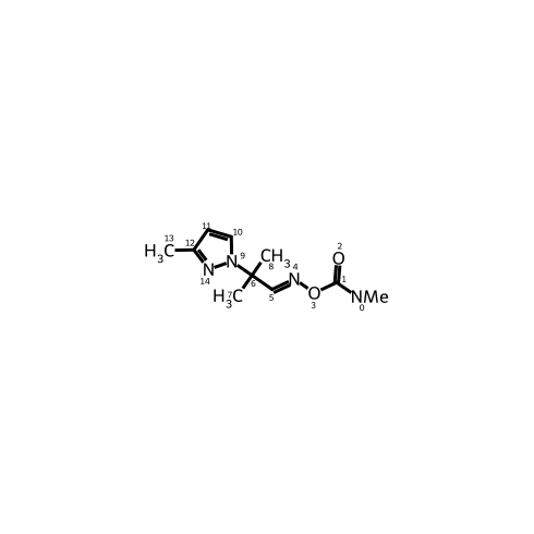 CNC(=O)ON=CC(C)(C)n1ccc(C)n1